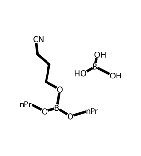 CCCOB(OCCC)OCCCC#N.OB(O)O